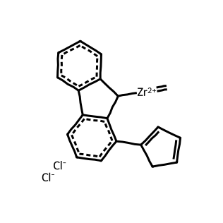 [CH2]=[Zr+2][CH]1c2ccccc2-c2cccc(C3=CC=CC3)c21.[Cl-].[Cl-]